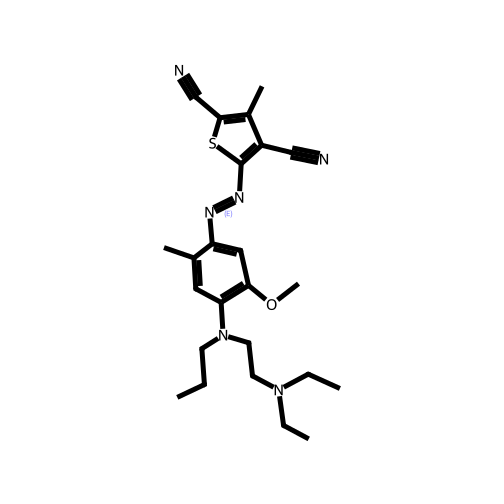 CCCN(CCN(CC)CC)c1cc(C)c(/N=N/c2sc(C#N)c(C)c2C#N)cc1OC